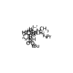 CC(C)CCC[C@@H](C)[C@H]1CC[C@H]2[C@@H]3CC[C@H]4CCCC(NC(=O)OC(C)(C)C)[C@]4(C)[C@H]3CC[C@]12C